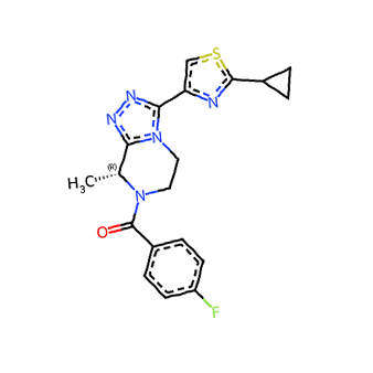 C[C@@H]1c2nnc(-c3csc(C4CC4)n3)n2CCN1C(=O)c1ccc(F)cc1